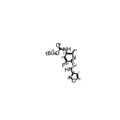 Cc1nc(SNc2ccon2)c(F)cc1NC(=O)OC(C)(C)C